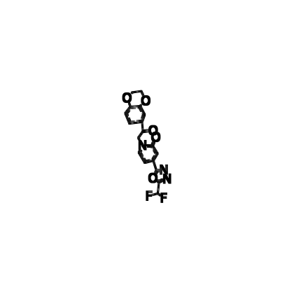 O=C(Cn1ccc(-c2nnc(C(F)F)o2)cc1=O)c1ccc2c(c1)OCCO2